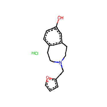 Cl.Oc1ccc2c(c1)CCN(Cc1ccco1)CC2